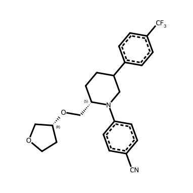 N#Cc1ccc(N2CC(c3ccc(C(F)(F)F)cc3)CC[C@H]2CO[C@@H]2CCOC2)cc1